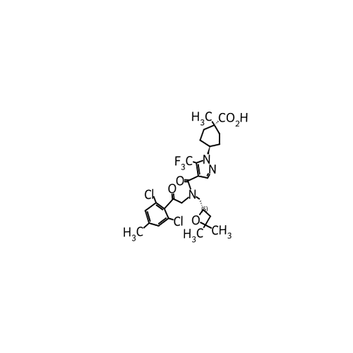 Cc1cc(Cl)c(C(=O)CN(C[C@@H]2CC(C)(C)O2)C(=O)c2cnn([C@H]3CC[C@](C)(C(=O)O)CC3)c2C(F)(F)F)c(Cl)c1